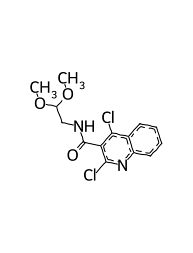 COC(CNC(=O)c1c(Cl)nc2ccccc2c1Cl)OC